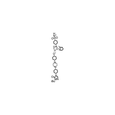 CCC(C)n1ncn(-c2ccc(N3CCN(c4ccc(OC[C@@H]5CO[C@@](Cn6cccn6)(c6ccc(S(N)(=O)=O)cc6)O5)cc4)CC3)cc2)c1=O